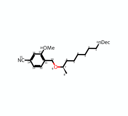 CCCCCCCCCCCCCCC[CH][C@@H](C)OCc1ccc(C#N)cc1OC